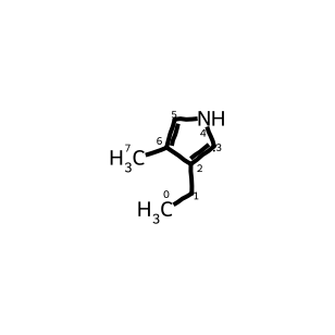 CCc1[c][nH]cc1C